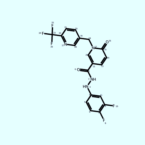 O=C(NNc1ccc(F)c(F)c1)c1ccc(=O)n(Cc2ccc(C(F)(F)F)nc2)c1